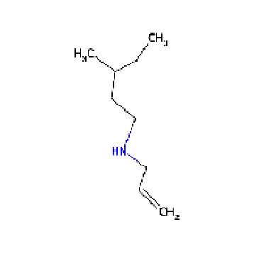 C=CCNCCC(C)CC